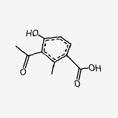 CC(=O)c1c(O)ccc(C(=O)O)c1C